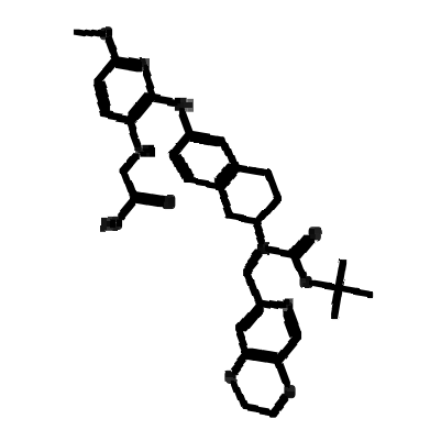 COc1ccc(NCC(=O)O)c(Nc2ccc3c(c2)CCC(N(Cc2cc4c(cn2)OCCO4)C(=O)OC(C)(C)C)C3)n1